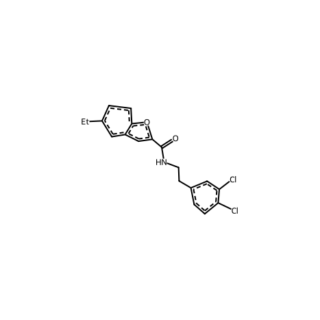 CCc1ccc2oc(C(=O)NCCc3ccc(Cl)c(Cl)c3)cc2c1